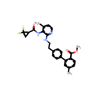 COC(=O)c1ccc(C)cc1-c1ccc(CCNc2nccc(C)c2NC(=O)C2CC2(F)F)cc1